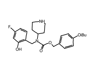 CC(C)COc1ccc(COC(=O)N(Cc2ccc(F)cc2O)C2CCNCC2)cc1